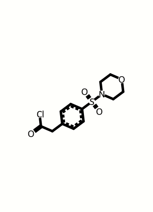 O=C(Cl)Cc1ccc(S(=O)(=O)N2CCOCC2)cc1